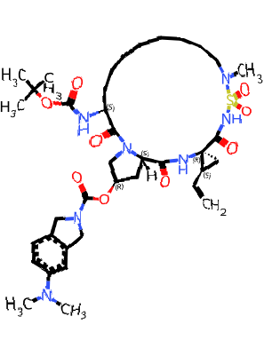 C=C[C@@H]1C[C@@]12NC(=O)[C@@H]1C[C@@H](OC(=O)N3Cc4ccc(N(C)C)cc4C3)CN1C(=O)[C@@H](NC(=O)OC(C)(C)C)CCCCCCCCN(C)S(=O)(=O)NC2=O